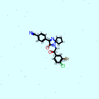 N#Cc1ccc(C2=NC3(CCCC3)N(CC(=O)c3ccc(Cl)c(Br)c3)C2=O)cc1